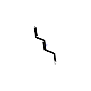 [CH]=C/C=C/CF